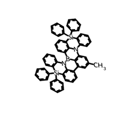 Cc1cc2c3c(c1)N1c4ccccc4[Si](c4ccccc4)(c4ccccc4)c4cccc(c41)B3N1c3ccccc3[Si](c3ccccc3)(c3ccccc3)c3cccc-2c31